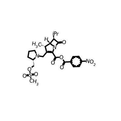 CC(C)[C@H]1C(=O)N2C(C(=O)OC(=O)c3ccc([N+](=O)[O-])cc3)=C(CN3CCC[C@H]3COS(C)(=O)=O)[C@H](C)[C@H]12